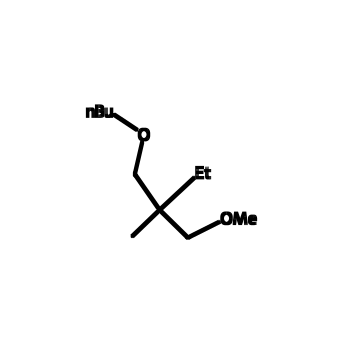 CCCCOCC(C)(CC)COC